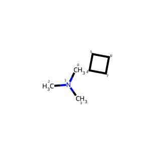 CN(C)C.[CH]1CCC1